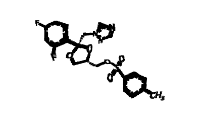 Cc1ccc(S(=O)(=O)OC[C@@H]2CO[C@@](Cn3cncn3)(c3ccc(F)cc3F)O2)cc1